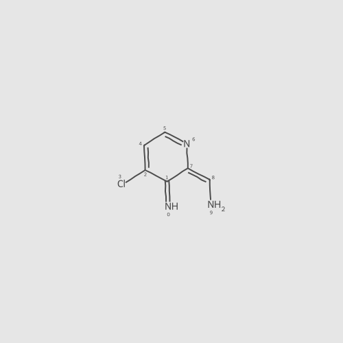 N=C1C(Cl)=CC=N/C1=C/N